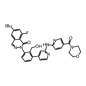 CC(C)(C)c1cc(F)c2c(=O)n(-c3cccc(-c4ccnc(Nc5ccc(C(=O)N6CCOCC6)cn5)c4)c3CO)ncc2c1